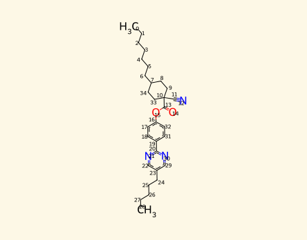 CCCCCCCC1CCC(C#N)(C(=O)Oc2ccc(-c3ncc(CCCCC)cn3)cc2)CC1